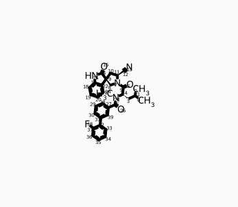 CC(C)C[C@@H](C(=O)N1C[C@]2(C[C@H]1C#N)C(=O)Nc1ccccc12)N(C)C(=O)c1cccc(-c2ccccc2F)c1